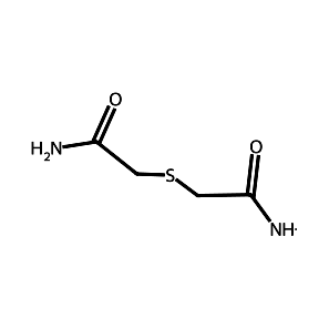 [NH]C(=O)CSCC(N)=O